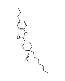 CCCCCCCC1(C#N)CCC(C(=O)Oc2ccc(CCC)cc2)CC1